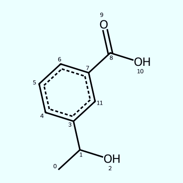 CC(O)c1cccc(C(=O)O)c1